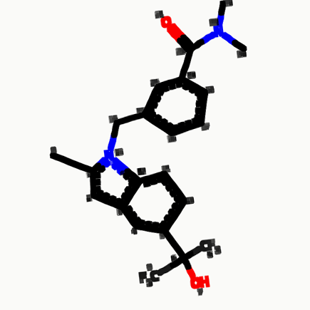 Cc1cc2cc(C(O)(C(F)(F)F)C(F)(F)F)ccc2n1Cc1cccc(C(=O)N(C)C)c1